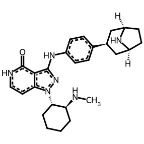 CN[C@H]1CCCC[C@@H]1n1nc(Nc2ccc([C@H]3C[C@H]4CC[C@@H](C3)N4)cc2)c2c(=O)[nH]ccc21